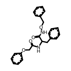 O=C(COc1ccccc1)NC(Cc1ccccc1)C(=O)NOCc1ccccc1